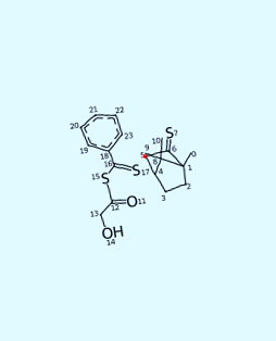 CC12CCC(CC1=S)C2(C)C.O=C(CO)SC(=S)c1ccccc1